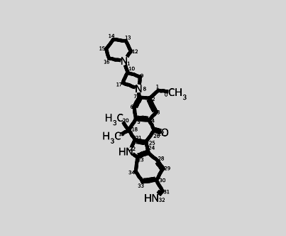 CCc1cc2c(cc1N1CC(N3CCCCC3)C1)C(C)(C)c1[nH]c3c(c1C2=O)C=CC(C=N)=CC3